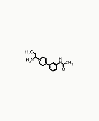 CCC(N)N1CC=C(c2cccc(NC(C)=O)c2)CC1